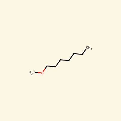 CC[CH]CCCCOC